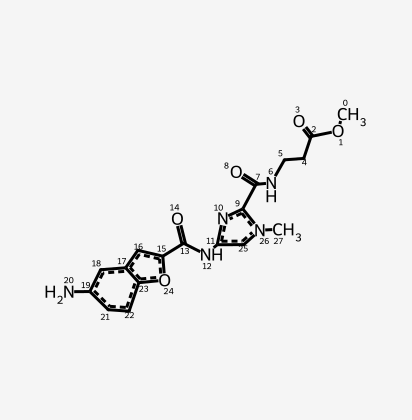 COC(=O)CCNC(=O)c1nc(NC(=O)c2cc3cc(N)ccc3o2)cn1C